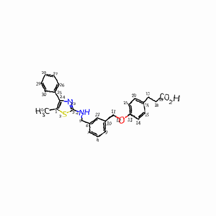 Cc1sc(NCc2cccc(COc3ccc(CCC(=O)O)cc3)c2)nc1-c1ccccc1